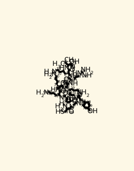 CC(C)[C@H](NC(=O)[C@H](CCCCN)NC(=O)[C@H](CCCNC(=N)N)NC(=O)[C@H](CCCCN)NC(=O)[C@H](CCCCN)NC(=O)[C@H](CCCCN)NC(=O)[C@@H]1CCCN1C(=O)CNC(=O)[C@H](Cc1ccc(O)cc1)NC(=O)CNC(=O)[C@@H](N)CS)C(=O)O